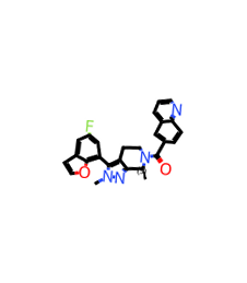 C[C@H]1c2nn(C)c(-c3cc(F)cc4ccoc34)c2CCN1C(=O)c1ccc2ncccc2c1